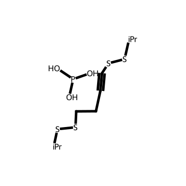 CC(C)SSC#CCCSSC(C)C.OP(O)O